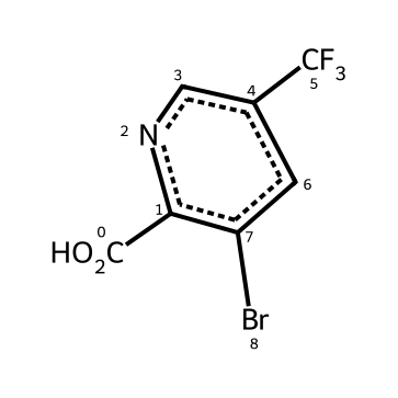 O=C(O)c1ncc(C(F)(F)F)cc1Br